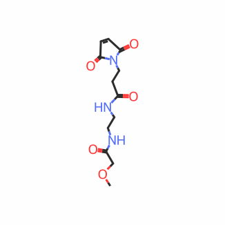 COCC(=O)NCCNC(=O)CCN1C(=O)C=CC1=O